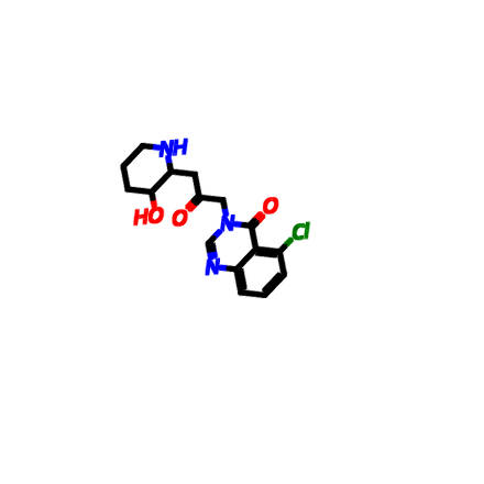 O=C(CC1NCCCC1O)Cn1cnc2cccc(Cl)c2c1=O